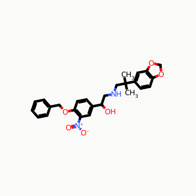 CC(C)(CNCC(O)c1ccc(OCc2ccccc2)c([N+](=O)[O-])c1)c1ccc2c(c1)OCO2